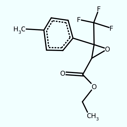 CCOC(=O)C1OC1(c1ccc(C)cc1)C(F)(F)F